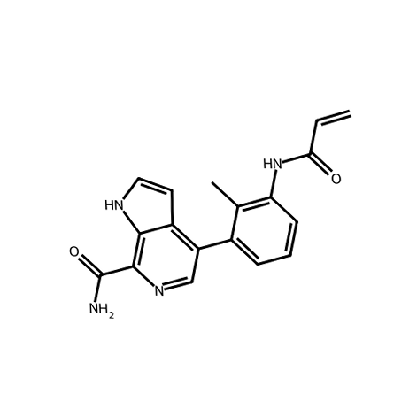 C=CC(=O)Nc1cccc(-c2cnc(C(N)=O)c3[nH]ccc23)c1C